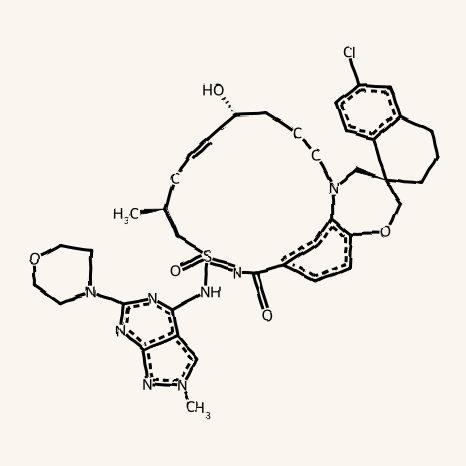 C[C@H]1C/C=C/[C@H](O)CCCN2C[C@@]3(CCCc4cc(Cl)ccc43)COc3ccc(cc32)C(=O)N=S(=O)(Nc2nc(N3CCOCC3)nc3nn(C)cc23)C1